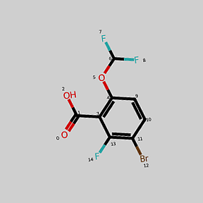 O=C(O)c1c(OC(F)F)ccc(Br)c1F